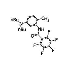 CCCCN(CCCC)c1ccc(C)c(NC(=O)c2c(F)c(F)c(F)c(F)c2F)c1